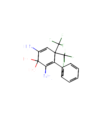 NC1=CC(C(F)(F)F)(C(F)(F)F)C(c2ccccc2)=C(N)C1(O)O